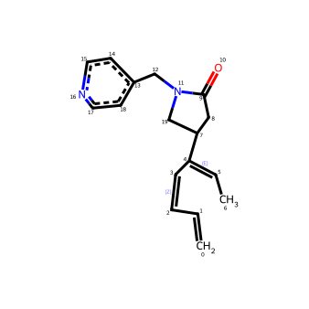 C=C/C=C\C(=C/C)C1CC(=O)N(Cc2ccncc2)C1